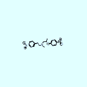 CC(CN(C)CCc1ccc([N+](=O)[O-])cc1)Oc1ccc([N+](=O)[O-])cc1